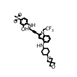 CS(=O)(=O)c1ccc(NCC#Cc2cc3c(NC4CCC(N5CC6(COC6)C5)CC4)cccc3n2CC(F)(F)F)c(O)c1